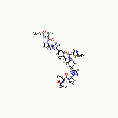 COC(=O)N[C@H](C(=O)N1CCC[C@H]1c1ncc(-c2cc(F)c3c(c2)OC(c2cnc(C(C)C)s2)n2c-3cc3cc(-c4cnc([C@@H]5CCCN5C(=O)[C@@H](NC(=O)OC)C(C)C)[nH]4)ccc32)[nH]1)C(C)C